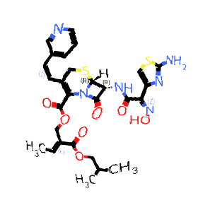 C/C=C(\COC(=O)C1=C(/C=C\c2cccnc2)CS[C@@H]2[C@H](NC(=O)/C(=N\O)c3csc(N)n3)C(=O)N12)C(=O)OCC(C)C